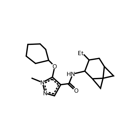 CCC1CC2CC23CC3C1NC(=O)c1cnn(C)c1OC1CCCCC1